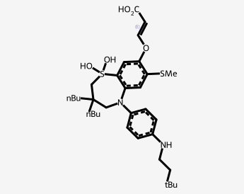 CCCCC1(CCCC)CN(c2ccc(NCCC(C)(C)C)cc2)c2cc(SC)c(O/C=C/C(=O)O)cc2S(O)(O)C1